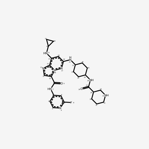 O=C(Nc1ccnc(F)c1)c1cnc2c(NC3CC3)cc(NC3CCC(NC(=O)C4CCCNC4)CC3)nn12